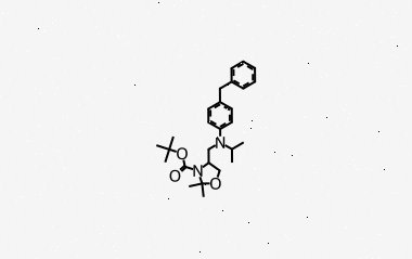 CC(C)N(CC1COC(C)(C)N1C(=O)OC(C)(C)C)c1ccc(Cc2ccccc2)cc1